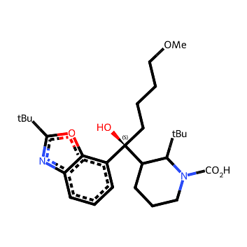 COCCCC[C@@](O)(c1cccc2nc(C(C)(C)C)oc12)C1CCCN(C(=O)O)C1C(C)(C)C